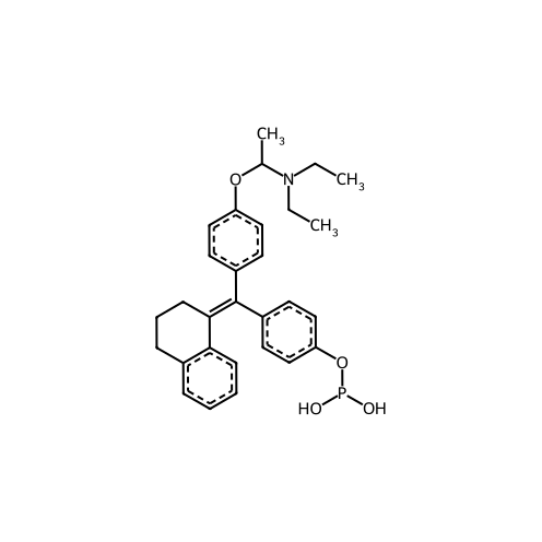 CCN(CC)C(C)Oc1ccc(C(=C2CCCc3ccccc32)c2ccc(OP(O)O)cc2)cc1